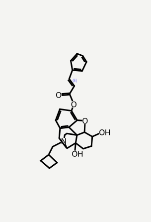 O=C(/C=C/c1ccccc1)Oc1ccc2c3c1OC1C(O)CCC4(O)C(C2)N(CC2CCC2)CCC314